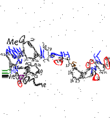 COc1cc(N2CCC(NC(=O)CCSc3cccc4c3C(=O)N(C3CCC(=O)NC3=O)C4=O)CC2)ccc1Nc1ncc(Cl)c(Nc2ccccc2P(=O)(OC)OC)n1